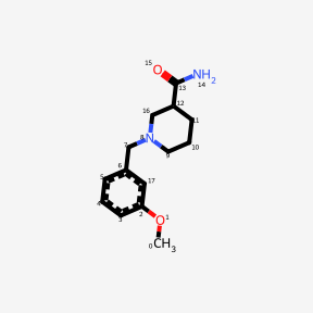 COc1cccc(CN2CCCC(C(N)=O)C2)c1